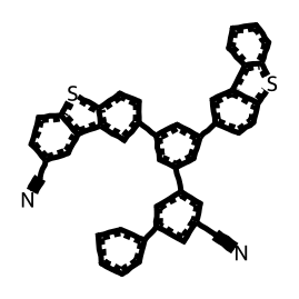 N#Cc1cc(-c2ccccc2)cc(-c2cc(-c3ccc4sc5ccccc5c4c3)cc(-c3ccc4sc5ccc(C#N)cc5c4c3)c2)c1